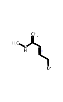 C=C(/C=C/CBr)NC